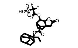 CCC1(OC(=O)C2C3CCC4C(OC(=O)C42)C3OC(=O)C(F)(F)S(=O)(=O)O)C2CC3CC(C2)CC1C3